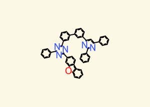 c1ccc(-c2cc(-c3cccc(-c4cccc(-c5nc(-c6ccccc6)nc(-c6ccc7c(c6)oc6ccccc67)n5)c4)c3)nc(-c3ccccc3)n2)cc1